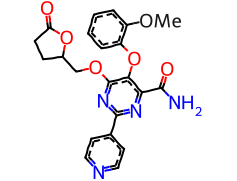 COc1ccccc1Oc1c(OCC2CCC(=O)O2)nc(-c2ccncc2)nc1C(N)=O